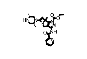 CCOC(=O)n1nc(NC(=O)c2ccccn2)c2c1C1(C)C=C(N3C[C@@H](C)NC[C@@H]3C)N1C2